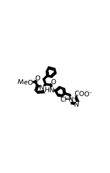 COC(=O)c1cccn1C(Cc1ccccc1)C(=O)Nc1ccc(C[N@@+]2(Cl)C=NC=C2C(=O)[O-])cc1